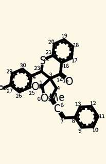 COC(=O)C1(CC=C=Cc2ccccc2)C(=O)c2ccccc2SC1c1ccc(F)cc1